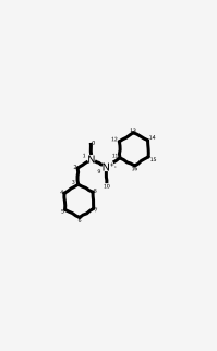 CN(CC1CCCCC1)[N+](C)C1CCCCC1